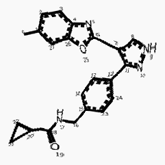 Cc1ccc2nc(-c3c[nH]nc3-c3ccc(CNC(=O)C4CC4)cc3)oc2c1